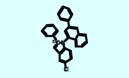 Clc1ccc2c(c1)c[13c](-c1ccccc1)n2-c1cc(-c2ccccc2)cc2ccccc12